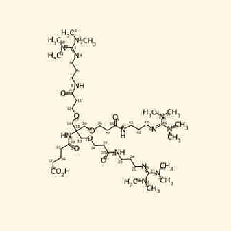 CN(C)C(=NCCCNC(=O)CCOCC(COCCC(=O)NCCCN=C(N(C)C)N(C)C)(COCCC(=O)NCCCN=C(N(C)C)N(C)C)NC(=O)CCCC(=O)O)N(C)C